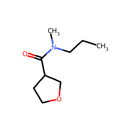 CCCN(C)C(=O)C1CCOC1